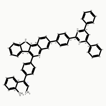 C/C=C(/c1ccc(-c2nc3cc(-c4ccc(-c5nc(-c6ccccc6)cc(-c6ccccc6)n5)cc4)ccc3c3sc4ccccc4c23)cc1)c1ccccc1C